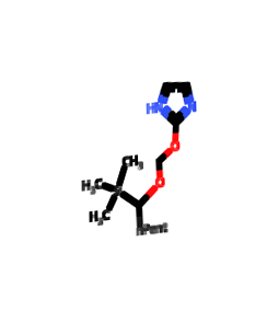 CCCCCC(OCOc1ncc[nH]1)[Si](C)(C)C